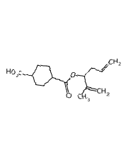 C=CCC(OC(=O)C1CCC(C(=O)O)CC1)C(=C)C